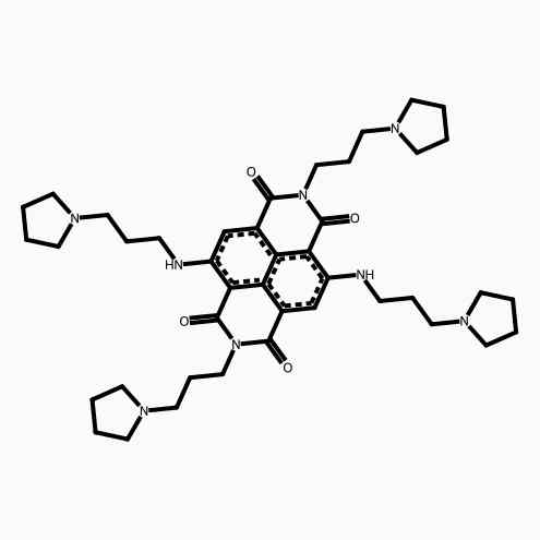 O=C1c2cc(NCCCN3CCCC3)c3c4c(cc(NCCCN5CCCC5)c(c24)C(=O)N1CCCN1CCCC1)C(=O)N(CCCN1CCCC1)C3=O